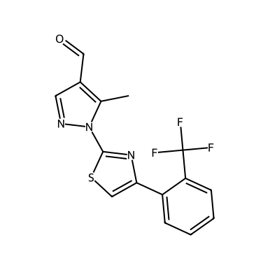 Cc1c(C=O)cnn1-c1nc(-c2ccccc2C(F)(F)F)cs1